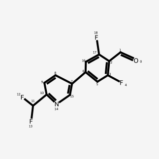 O=Cc1c(F)cc(-c2ccc(C(F)F)nc2)cc1F